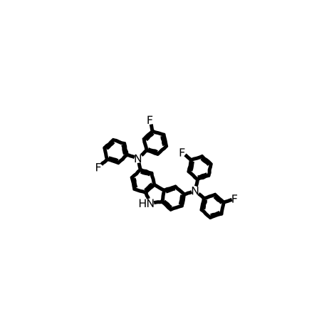 Fc1cccc(N(c2cccc(F)c2)c2ccc3[nH]c4ccc(N(c5cccc(F)c5)c5cccc(F)c5)cc4c3c2)c1